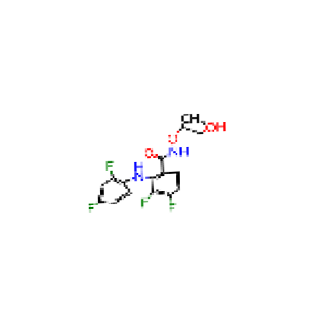 CC(CO)ONC(=O)c1ccc(F)c(F)c1Nc1ccc(F)cc1F